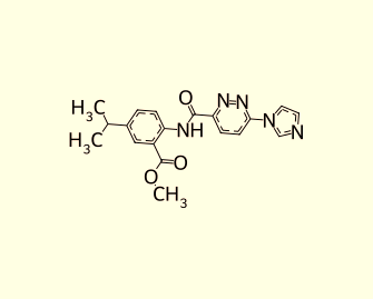 COC(=O)c1cc(C(C)C)ccc1NC(=O)c1ccc(-n2ccnc2)nn1